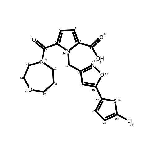 O=C(O)c1ccc(C(=O)N2CCCOCC2)n1Cc1cc(-c2ccc(Cl)s2)on1